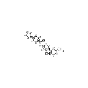 Cc1cccc(N2CCN(CC(=O)N3CCN(C4CCCC4)CC3)CC2C)c1